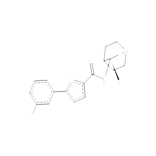 O=C(N[C@H]1CN2CCC1CC2)c1ccc(-c2cccc(F)c2)s1